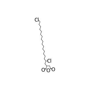 O=C1CC(CC(Cl)CCCCCCCCCCCCCCCCCl)C(=O)O1